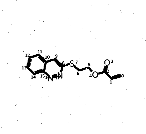 C=CC(=O)OCCSc1cc2ccccc2nn1